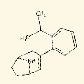 CC(C)c1ccccc1C1=CC2CCC(C1)N2